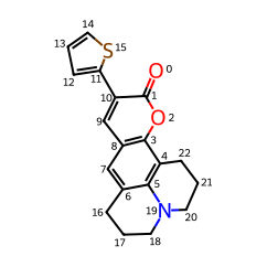 O=c1oc2c3c4c(cc2cc1-c1cccs1)CCCN4CCC3